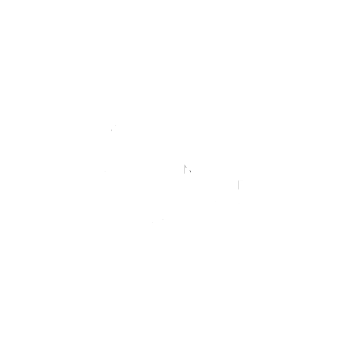 CC(=O)CCc1ncc(C(F)(F)F)cc1Cl